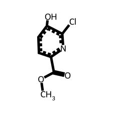 COC(=O)c1ccc(O)c(Cl)n1